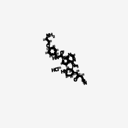 CN(c1ncnc2c1ccn2C(=O)Nc1ccc(OCCN)cc1)[C@H]1CNCC[C@@H]1CC(=O)CC#N.Cl